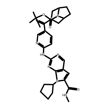 CNC(=O)c1cc2cnc(Nc3ccc(C(=O)N4CC5CCC(C4)N5C(=O)OC(C)(C)C)cn3)nc2n1C1CCCC1